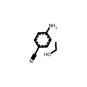 CCO.N#Cc1ccc(N)cc1